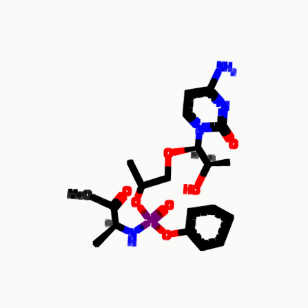 COC(=O)[C@H](C)NP(=O)(Oc1ccccc1)OC(C)CO[C@H]([C@@H](C)O)n1ccc(N)nc1=O